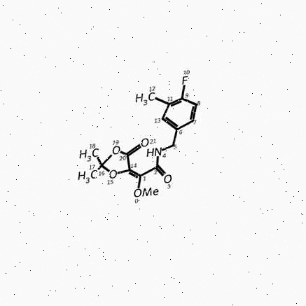 COC(C(=O)NCc1ccc(F)c(C)c1)=C1OC(C)(C)OC1=O